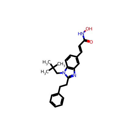 CC(C)(C)Cn1c(CCc2ccccc2)nc2cc(/C=C/C(=O)NO)ccc21